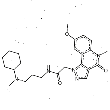 COc1ccc2c(c1)c1c(cnn1CC(=O)NCCCN(C)C1CCCCC1)c(=O)n2C